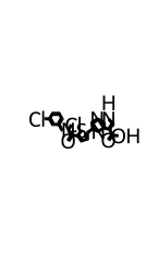 O=C(O)c1c[nH]c2ncc(-c3ccc(C(=O)N(Cl)Cc4cccc(Cl)c4)s3)nc12